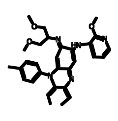 C/C=c1/nc2cc(Nc3cccnc3OC)/c(=N/C(COC)COC)cc-2n(-c2ccc(C)cc2)/c1=C/C